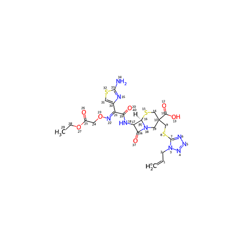 C=CCn1nnnc1SCC1(C(=O)O)CS[C@@H]2C(NC(=O)C(=NOCC(=O)OCC)c3csc(N)n3)C(=O)N2C1